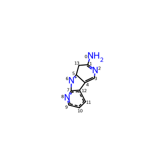 NC1=NC=C2C(=Nc3ncccc32)C1